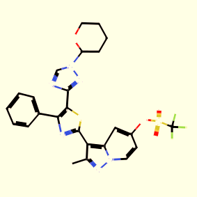 Cc1nn2ccc(OS(=O)(=O)C(F)(F)F)cc2c1-c1nc(-c2ccccc2)c(-c2ncn(C3CCCCO3)n2)s1